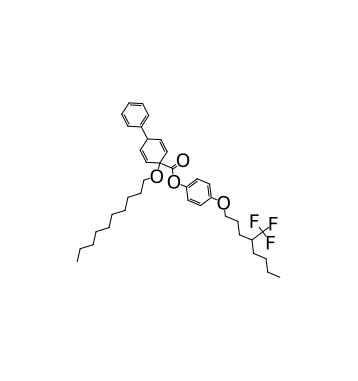 CCCCCCCCCCOC1(C(=O)Oc2ccc(OCCCC(CCCC)C(F)(F)F)cc2)C=CC(c2ccccc2)C=C1